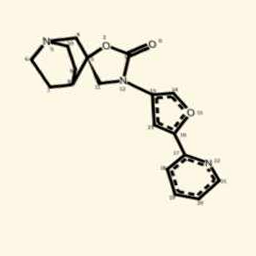 O=C1O[C@]2(CN3CCC2CC3)CN1c1coc(-c2ccccn2)c1